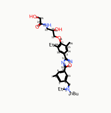 CCCCN(CC)Cc1cc(C)cc(-c2nc(-c3cc(C)c(OCC(O)CNC(=O)CO)c(CC)c3)no2)c1